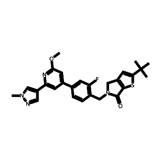 COc1cc(-c2ccc(CN3Cc4cc(C(C)(C)C)sc4C3=O)c(F)c2)cc(-c2cnn(C)c2)n1